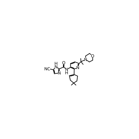 CC1(C)CC=C(c2nc(C(C)(C)N3CCOCC3)ccc2NC(=O)c2ncc(C#N)[nH]2)CC1